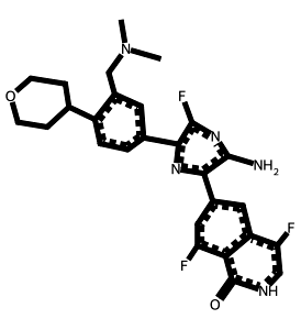 CN(C)Cc1cc(-c2nc(-c3cc(F)c4c(=O)[nH]cc(F)c4c3)c(N)nc2F)ccc1C1CCOCC1